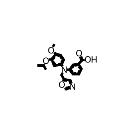 COc1ccc(N(Cc2cnco2)c2cccc(C(=O)O)c2)cc1OC(C)C